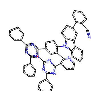 N#Cc1ccccc1-c1ccc2c(c1)c1ccccc1n2-c1ccc(-c2nc(-c3ccccc3)nc(-c3ccccc3)n2)cc1-c1ncccc1-c1nc(-c2ccccc2)nc(-c2ccccc2)n1